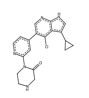 O=C1CNCCN1c1cc(-c2cnc3[nH]cc(C4CC4)c3c2Cl)ccn1